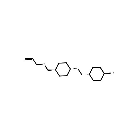 C=CCOC[C@H]1CC[C@H](CC[C@H]2CC[C@H](CC)CC2)CC1